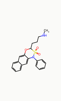 CNCCCC1Oc2cc3ccccc3cc2N(c2ccccc2)S1(=O)=O